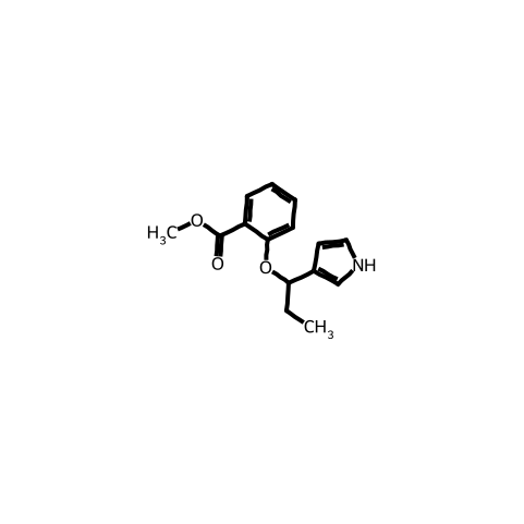 CCC(Oc1ccccc1C(=O)OC)c1cc[nH]c1